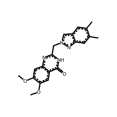 COc1cc2nc(Cn3cc4cc(C)c(C)cc4n3)[nH]c(=O)c2cc1OC